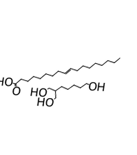 CCCCCCCCC=CCCCCCCCC(=O)O.OCCCCCC(CO)CO